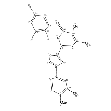 CSc1ccc(-c2csc(-c3cc(C(F)(F)F)c(C#N)c(=O)n3Cc3ccc(F)cc3F)c2)cc1C(F)(F)F